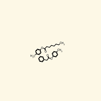 CCCCCCCC(=O)Oc1ccc(C)cc1.Cc1ccc(OC(=O)Cc2ccccc2)cc1